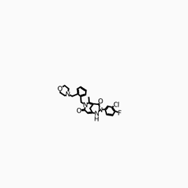 CC1=C2CC(=CC(=O)N1Cc1ccccc1CN1CCOCC1)NN(c1ccc(F)c(Cl)c1)C2=O